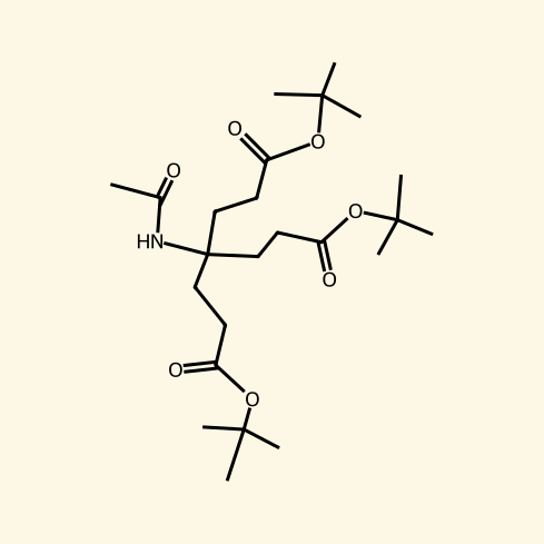 CC(=O)NC(CCC(=O)OC(C)(C)C)(CCC(=O)OC(C)(C)C)CCC(=O)OC(C)(C)C